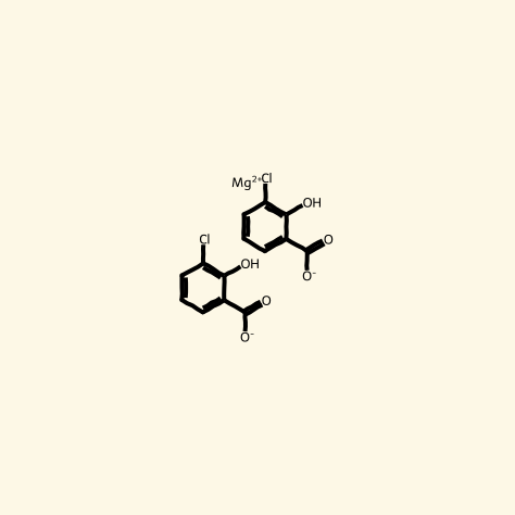 O=C([O-])c1cccc(Cl)c1O.O=C([O-])c1cccc(Cl)c1O.[Mg+2]